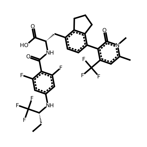 CC[C@@H](Nc1cc(F)c(C(=O)N[C@@H](Cc2ccc(-c3c(C(F)(F)F)cc(C)n(C)c3=O)c3c2CCC3)C(=O)O)c(F)c1)C(F)(F)F